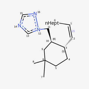 CCCCCCC/C=C\[C@@H]1CCC(C)(C)C[C@H]1Cn1cncn1